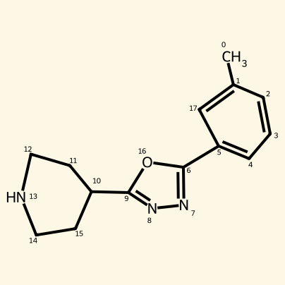 Cc1cccc(-c2nnc(C3CCNCC3)o2)c1